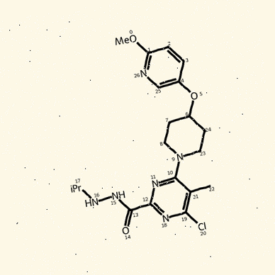 COc1ccc(OC2CCN(c3nc(C(=O)NNC(C)C)nc(Cl)c3C)CC2)cn1